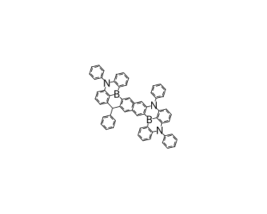 c1ccc(C2c3cc4cc5c(cc4cc3B3c4ccccc4N(c4ccccc4)c4cccc2c43)N(c2ccccc2)c2cccc3c2B5c2ccccc2N3c2ccccc2)cc1